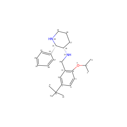 CC(C)Oc1ccc(C(C)(C)C)cc1CN[C@H]1CCCN[C@H]1c1ccccc1